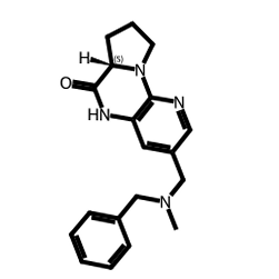 CN(Cc1ccccc1)Cc1cnc2c(c1)NC(=O)[C@@H]1CCCN21